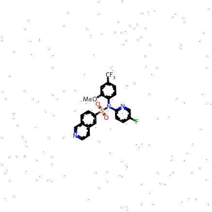 COc1cc(C(F)(F)F)ccc1N(c1ccc(F)cn1)S(=O)(=O)c1ccc2cnccc2c1